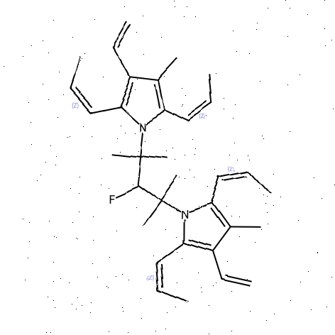 C=Cc1c(C)c(/C=C\C)n(C(C)(C)C(F)C(C)(C)n2c(/C=C\C)c(C)c(C=C)c2/C=C\C)c1/C=C\C